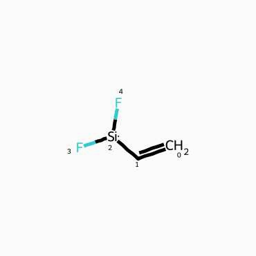 C=C[Si](F)F